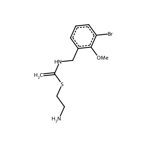 C=C(NCc1cccc(Br)c1OC)SCCN